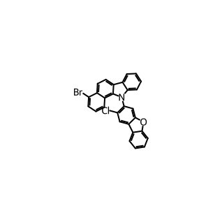 Clc1cc2c(cc1-n1c3ccccc3c3ccc4c(Br)cccc4c31)oc1ccccc12